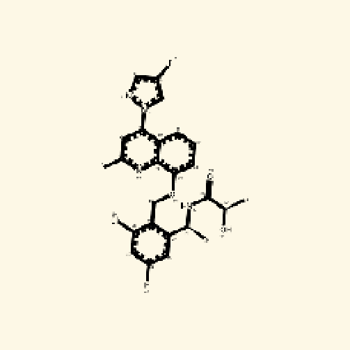 Cc1cc(-n2cc(F)cn2)c2cccc(OCc3c(Cl)cc(F)cc3[C@H](C)NC(=O)[C@@H](C)O)c2n1